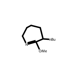 CCCCC1CCCCN=C1OC